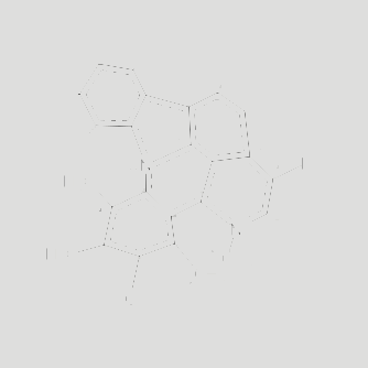 Cc1c(C)c(C)c2c(c1C)c1c3c(ccc4c5ccccc5n2c43)c(F)c[n+]1C